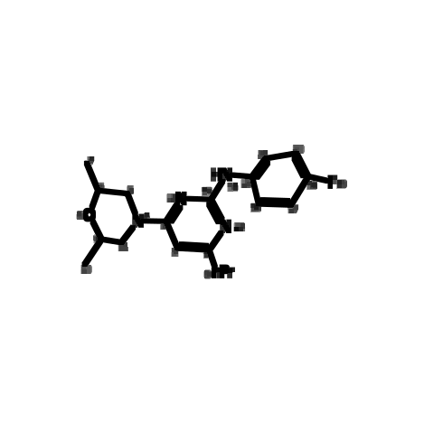 CCCc1cc(N2CC(C)OC(C)C2)nc(Nc2ccc(F)cc2)n1